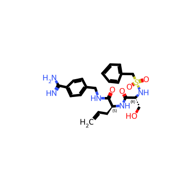 C=CC[C@H](NC(=O)[C@@H](CO)NS(=O)(=O)Cc1ccccc1)C(=O)NCc1ccc(C(=N)N)cc1